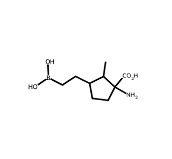 CC1C(CCB(O)O)CCC1(N)C(=O)O